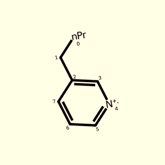 CCCCC1=C[N+]=CC=C1